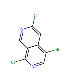 Clc1cc2c(Br)cnc(Cl)c2cn1